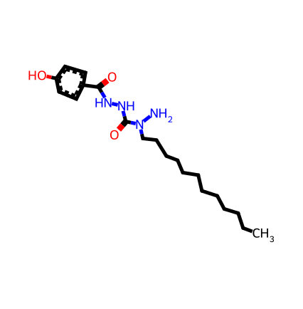 CCCCCCCCCCCCN(N)C(=O)NNC(=O)c1ccc(O)cc1